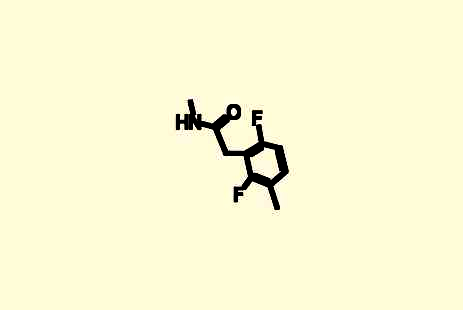 CNC(=O)Cc1c(F)ccc(C)c1F